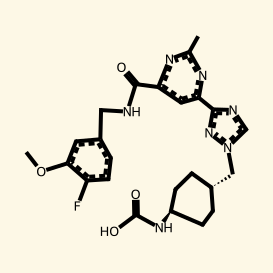 COc1cc(CNC(=O)c2cc(-c3ncn(C[C@H]4CC[C@H](NC(=O)O)CC4)n3)nc(C)n2)ccc1F